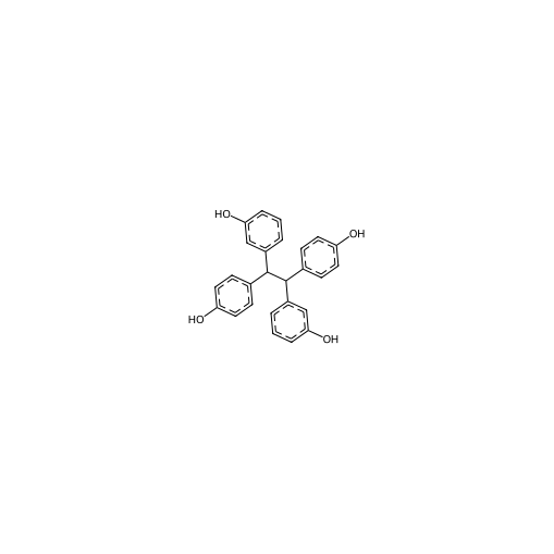 Oc1ccc(C(c2cccc(O)c2)C(c2ccc(O)cc2)c2cccc(O)c2)cc1